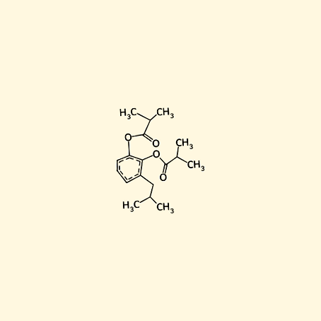 CC(C)Cc1cccc(OC(=O)C(C)C)c1OC(=O)C(C)C